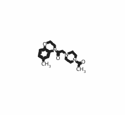 CC(=O)N1CCN(CC(=O)N2CCOc3ccc(C)cc32)CC1